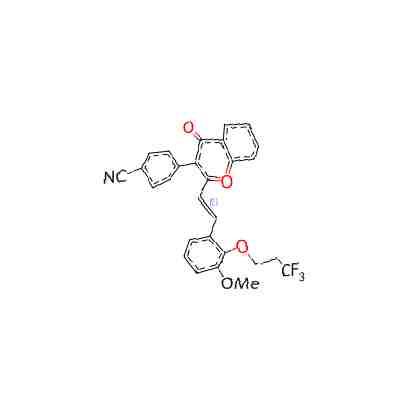 COc1cccc(/C=C/c2oc3ccccc3c(=O)c2-c2ccc(C#N)cc2)c1OCCC(F)(F)F